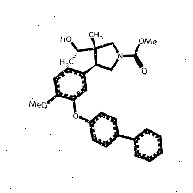 COC(=O)N1C[C@@H](c2ccc(OC)c(Oc3ccc(-c4ccccc4)cc3)c2)[C@](C)([C@H](C)O)C1